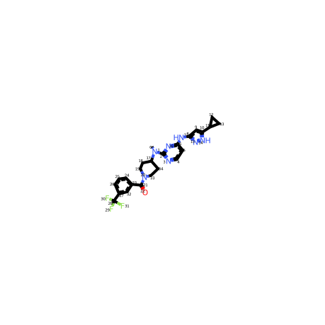 CN(c1nccc(Nc2cc(C3CC3)[nH]n2)n1)C1CCN(C(=O)c2cccc(C(F)(F)F)c2)CC1